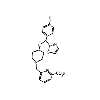 CCOC(=O)c1cccc(CN2CCC(OC(c3ccc(Cl)cc3)c3nccs3)CC2)n1